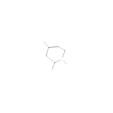 CCC1CCN(C)C(C)C1